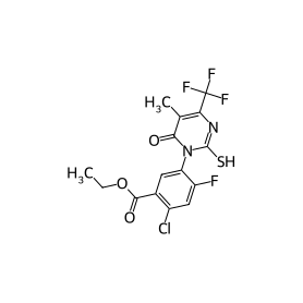 CCOC(=O)c1cc(-n2c(S)nc(C(F)(F)F)c(C)c2=O)c(F)cc1Cl